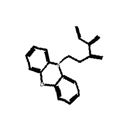 C=CC(=C)C(=C)CCN1c2ccccc2Oc2ccccc21